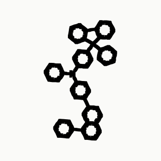 c1ccc(-c2cccc3ccc(-c4ccc(N(c5ccccc5)c5ccc(C6(c7ccccc7)c7ccccc7-c7ccccc76)cc5)cc4)cc23)cc1